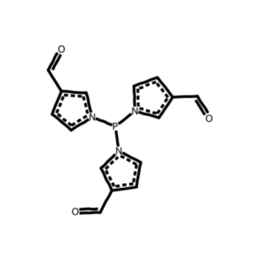 O=Cc1ccn(P(n2ccc(C=O)c2)n2ccc(C=O)c2)c1